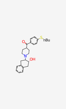 CCCCSc1ccc(C(=O)C2CCN(C3Cc4ccccc4C[C@H]3O)CC2)cc1